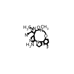 CN1CCOc2ccc(F)cc2[C@H]2CCCN2c2cc(cnc2N)-c2c(nn(C)c2C#N)C1=O